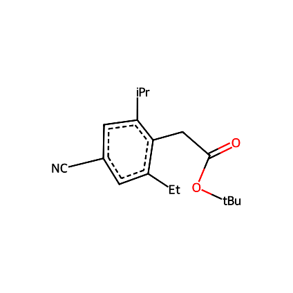 CCc1cc(C#N)cc(C(C)C)c1CC(=O)OC(C)(C)C